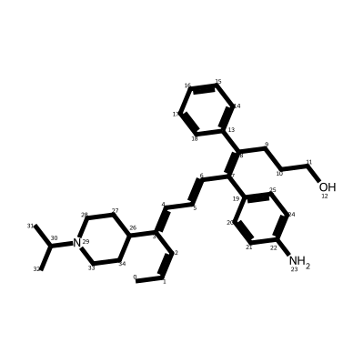 C\C=C/C(=C\C=C\C(=C(\CCCO)c1ccccc1)c1ccc(N)cc1)C1CCN(C(C)C)CC1